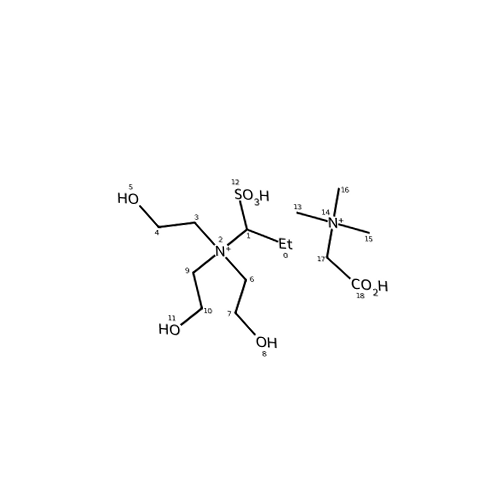 CCC([N+](CCO)(CCO)CCO)S(=O)(=O)O.C[N+](C)(C)CC(=O)O